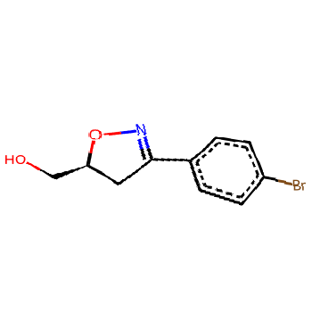 OC[C@@H]1CC(c2ccc(Br)cc2)=NO1